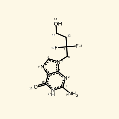 Nc1nc2c(ncn2CC(F)(F)CCO)c(=O)[nH]1